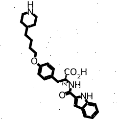 O=C(N[C@@H](Cc1ccc(OCCCCC2CCNCC2)cc1)C(=O)O)c1cc2ccccc2[nH]1